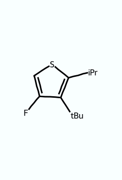 CC(C)c1scc(F)c1C(C)(C)C